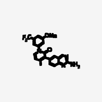 COc1cc(-n2ccc(C)c(-c3ccc4nc(N)ncc4c3)c2=O)cc(C(F)(F)F)c1